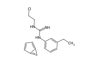 CCc1cccc(NC(=N)NCCCl)c1.c1cc2cc-2c1